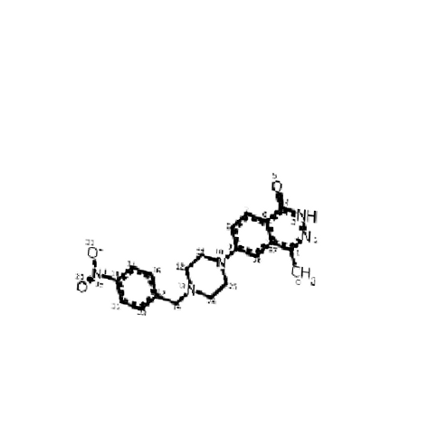 Cc1n[nH]c(=O)c2ccc(N3CCN(Cc4ccc([N+](=O)[O-])cc4)CC3)cc12